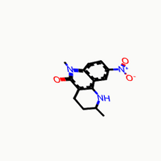 CC1CCc2c(c3cc([N+](=O)[O-])ccc3n(C)c2=O)N1